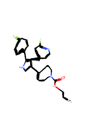 C=CCOC(=O)N1CC=C(c2c[nH]c(-c3ccc(F)cc3)c2-c2ccnc(F)c2)CC1